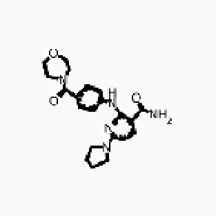 NC(=O)c1ccc(N2CCCC2)nc1Nc1ccc(C(=O)N2CCOCC2)cc1